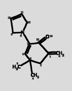 C=C1CC(C)(C)C=C(N2CC=CC2)C1=O